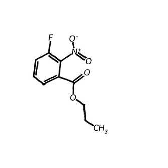 CCCOC(=O)c1cccc(F)c1[N+](=O)[O-]